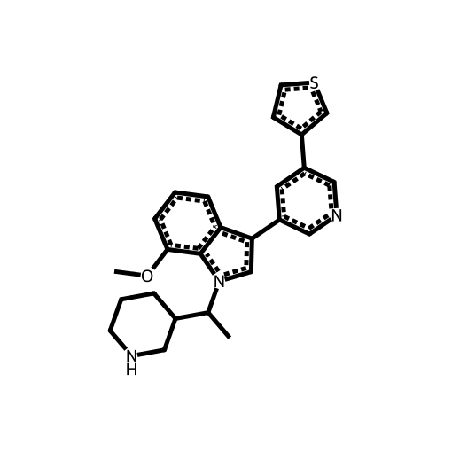 COc1cccc2c(-c3cncc(-c4ccsc4)c3)cn(C(C)C3CCCNC3)c12